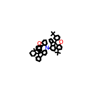 CC(C)(C)c1ccc2c(c1)C1(c3cc(C(C)(C)C)ccc3O2)c2ccccc2-c2c(N(c3ccc4c(c3)C3(C5=CC=CCC5(C)c5ccccc53)c3ccccc3-4)c3cccc4oc5ccccc5c34)cccc21